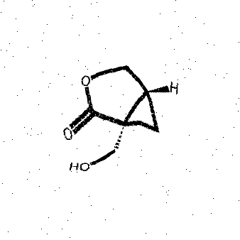 O=C1OC[C@@H]2C[C@@]12CO